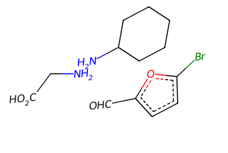 NC1CCCCC1.NCC(=O)O.O=Cc1ccc(Br)o1